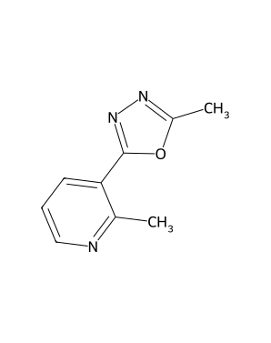 Cc1nnc(-c2cccnc2C)o1